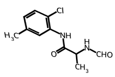 Cc1ccc(Cl)c(NC(=O)C(C)NC=O)c1